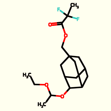 CCOC(C)OC1C2CC3CC1CC(COC(=O)C(C)(F)F)(C3)C2